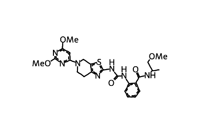 COCC(C)NC(=O)c1ccccc1NC(=O)Nc1nc2c(s1)CN(c1cc(OC)nc(OC)n1)CC2